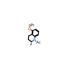 CCCOc1cccc2c1CC[C@H](C)N2C(C)=O